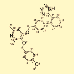 COc1ccc(COc2c(OCc3ccc(-c4ccccc4-c4nnn[nH]4)cc3)cc(C)nc2C)cc1